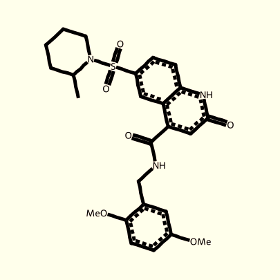 COc1ccc(OC)c(CNC(=O)c2cc(=O)[nH]c3ccc(S(=O)(=O)N4CCCCC4C)cc23)c1